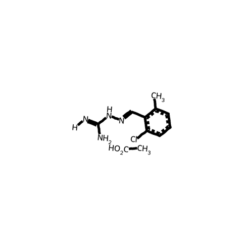 CC(=O)O.[H]/N=C(\N)NN=Cc1c(C)cccc1Cl